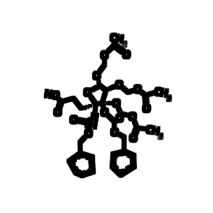 CC(=O)OCO[C@H]1O[C@](CCC(=O)O)(NC(=O)OCc2ccccc2)[C@](OCOC(C)=O)(OC(=O)OCc2ccccc2)[C@@H]1OCOC(C)=O